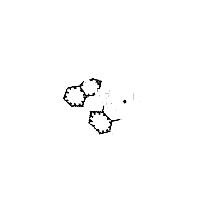 C=C.Cc1ccccc1C.c1ccc2scnc2c1